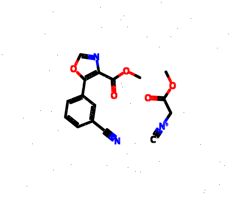 COC(=O)c1ncoc1-c1cccc(C#N)c1.[C-]#[N+]CC(=O)OC